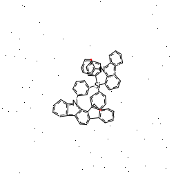 c1ccc(-n2c3ccccc3c3cccc([Si](c4ccccc4)(c4ccccc4)c4cccc(-n5c6ccccc6c6ccc7c(c65)Cc5ccccc5-7)c4)c32)cc1